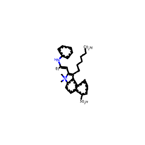 CC/C(=C\C1=C(CCCCCC(=O)O)c2c(ccc3c(S(=O)(=O)O)cccc23)[N+]1(C)C)Nc1ccccc1